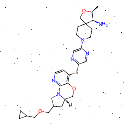 C[C@@H]1OCC2(CCN(c3cnc(Sc4ccnc5c4OC[C@@H]4CC(COCC6CC6)CN54)cn3)CC2)[C@@H]1N